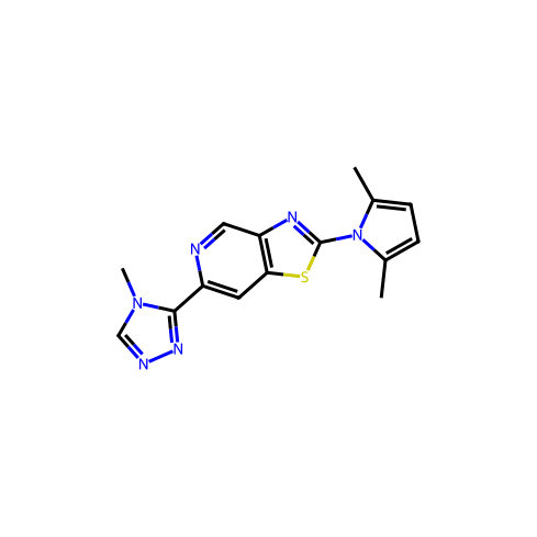 Cc1ccc(C)n1-c1nc2cnc(-c3nncn3C)cc2s1